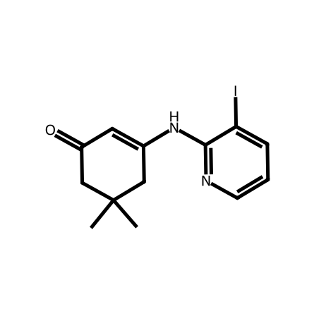 CC1(C)CC(=O)C=C(Nc2ncccc2I)C1